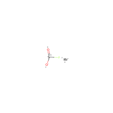 O=[Si]([O-])F.[Rb+]